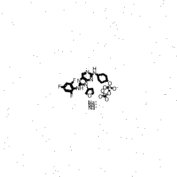 O=P([O-])([O-])OP(=O)([O-])OC1CCC(Nc2ncc3nc(Nc4c(F)cc(F)cc4F)n([C@H]4CCOC4)c3n2)CC1.[Na+].[Na+].[Na+]